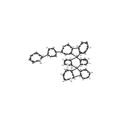 c1ccc(-c2ccc(-c3ccc4c(c3)C3(c5ccccc5-4)c4ccccc4C4(c5ccccc5-c5ccccc54)c4ccccc43)cc2)nc1